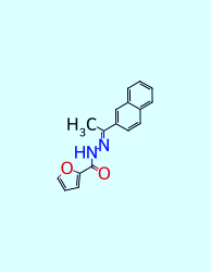 CC(=NNC(=O)c1ccco1)c1ccc2ccccc2c1